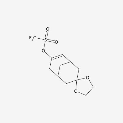 O=S(=O)(OC1=CC2CC(C1)CC1(C2)OCCO1)C(F)(F)F